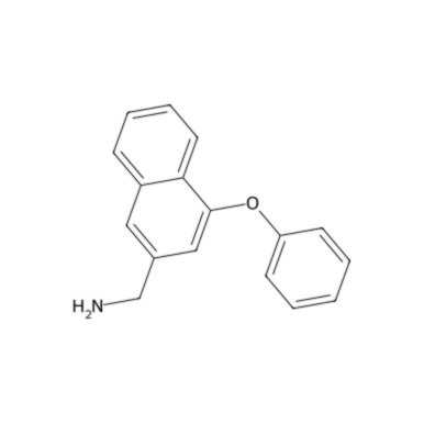 NCc1cc(Oc2ccccc2)c2ccccc2c1